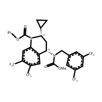 COC(=O)N(Cc1cc(C(F)(F)F)cc(C(F)(F)F)c1)[C@H]1C[C@@H](C2CC2)N(C(=O)OC(C)C)c2cc(C(F)(F)F)c(C(F)(F)F)cc21